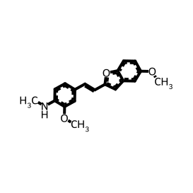 CNc1ccc(C=Cc2cc3cc(OC)ccc3o2)cc1OC